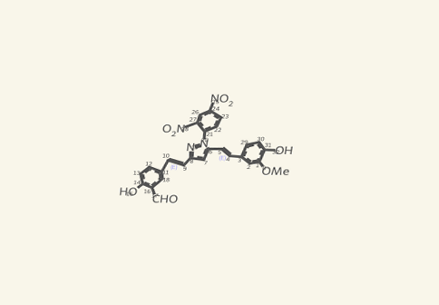 COc1cc(/C=C/c2cc(/C=C/c3ccc(O)c(C=O)c3)nn2-c2ccc([N+](=O)[O-])cc2[N+](=O)[O-])ccc1O